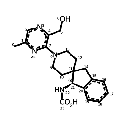 Cc1cnc(CO)c(N2CCC3(CC2)Cc2ccccc2[C@H]3NC(=O)O)n1